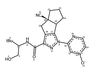 CC(C)(C)C(CO)NC(=O)c1nn(-c2c[n+]([O-])ccn2)c2c1C[C@]1(C#N)CCCC21